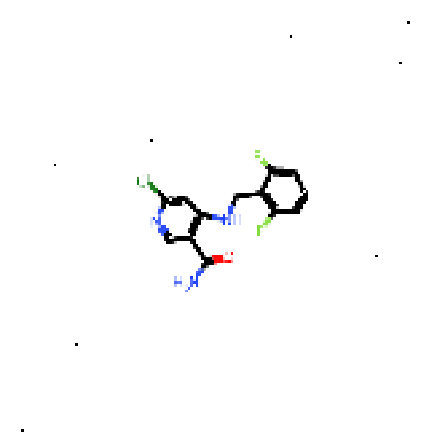 NC(=O)c1cnc(Cl)cc1NCc1c(F)cccc1F